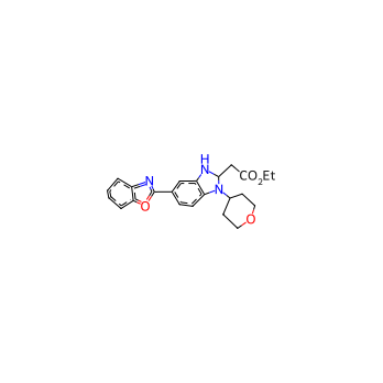 CCOC(=O)CC1Nc2cc(-c3nc4ccccc4o3)ccc2N1C1CCOCC1